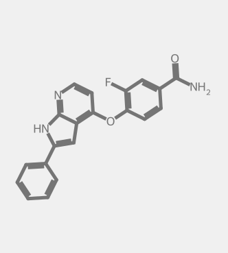 NC(=O)c1ccc(Oc2ccnc3[nH]c(-c4ccccc4)cc23)c(F)c1